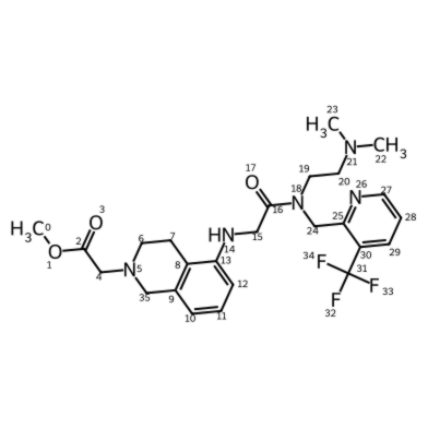 COC(=O)CN1CCc2c(cccc2NCC(=O)N(CCN(C)C)Cc2ncccc2C(F)(F)F)C1